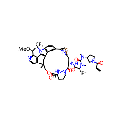 C=CC(=O)N1CC[C@@H](N(C)C(=O)N(C)[C@H](C(=O)N[C@H]2Cc3nc(cs3)-c3ccc4c(c3)c(c(-c3cccnc3[C@H](C)OC)n4CC(F)(F)F)CC(C)(C)COC(=O)[C@@H]3CCCN(N3)C2=O)C(C)C)C1